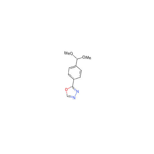 COC(OC)c1ccc(-c2nnco2)cc1